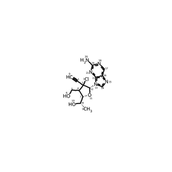 C#CC1(Cl)C(CO)[C@@H]([C@H](C)O)O[C@H]1n1cnc2cnc(N)nc21